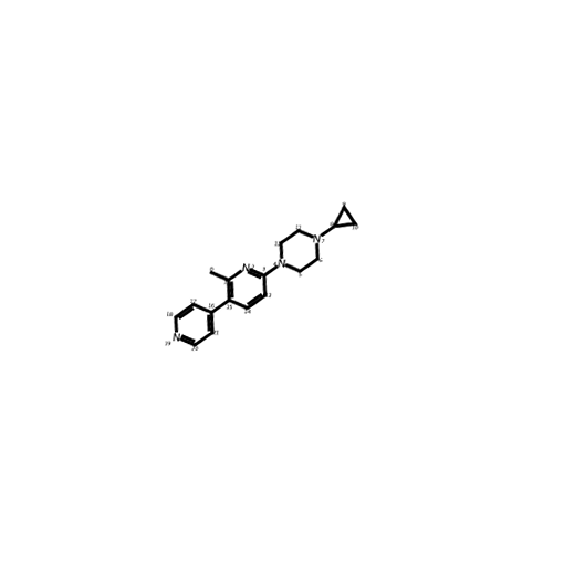 Cc1nc(N2CCN(C3CC3)CC2)ccc1-c1ccncc1